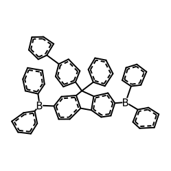 c1ccc(B(c2ccccc2)c2ccc3c(c2)C(c2ccccc2)(c2ccc(-c4ccccc4)cc2)c2cc(B(c4ccccc4)c4ccccc4)ccc2-3)cc1